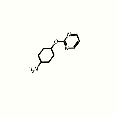 NC1CCC(Oc2ncccn2)CC1